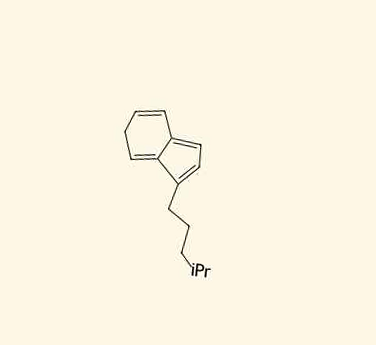 CC(C)CCCC1=CC=C2C=CCC=C21